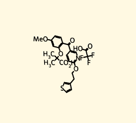 COc1ccc(C(=O)c2ccc(OCCc3ccsc3)nc2)c(OC(C)(C)C(=O)O)c1.O=C(O)C(F)(F)F